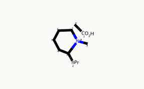 CC(=O)O.CCCC1CCCCN1C